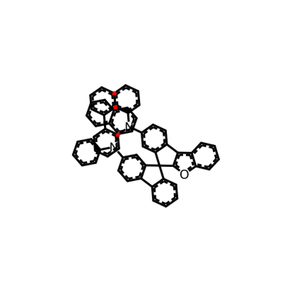 c1ccc(-c2ccccc2N(c2ccccc2)c2ccc3c(c2)C2(c4ccccc4-c4ccc(N(c5ccccc5)c5cccc6ccccc56)cc42)c2oc4ccccc4c2-3)cc1